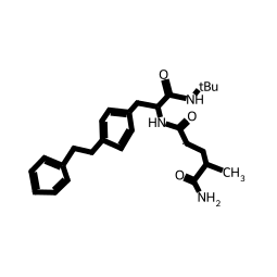 CC(C[CH]C(=O)NC(Cc1ccc(CCc2ccccc2)cc1)C(=O)NC(C)(C)C)C(N)=O